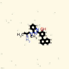 CC[C@@H](N)CN(C)c1nc(-c2cc(-c3cccc4ccccc34)ccc2O)nc2ccccc12